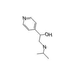 CC(C)[N]CC(O)c1ccncc1